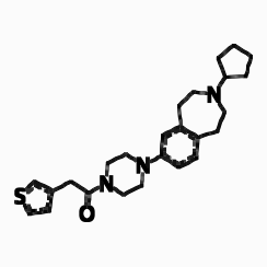 O=C(Cc1ccsc1)N1CCN(c2ccc3c(c2)CCN(C2CCCC2)CC3)CC1